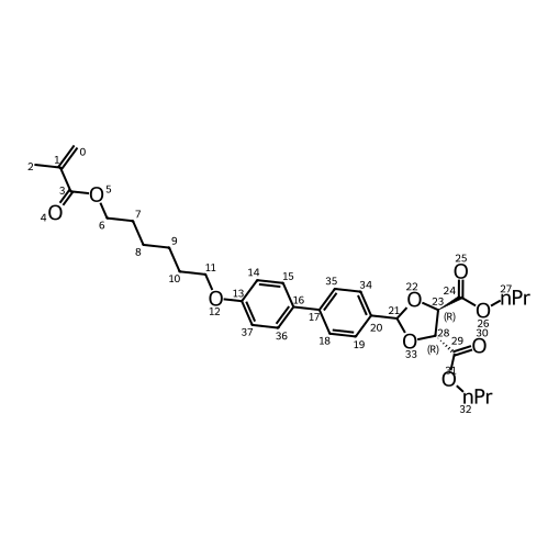 C=C(C)C(=O)OCCCCCCOc1ccc(-c2ccc(C3O[C@@H](C(=O)OCCC)[C@H](C(=O)OCCC)O3)cc2)cc1